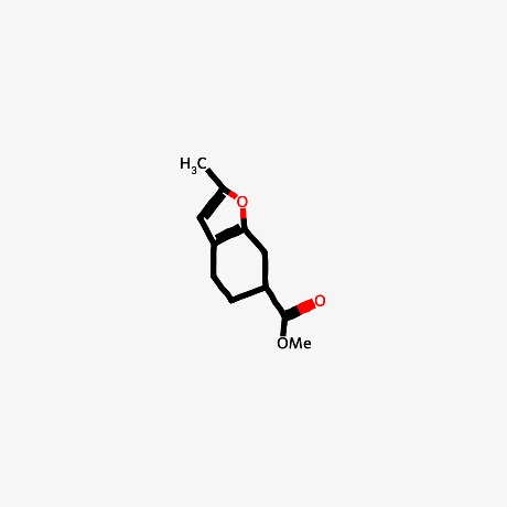 COC(=O)C1CCc2cc(C)oc2C1